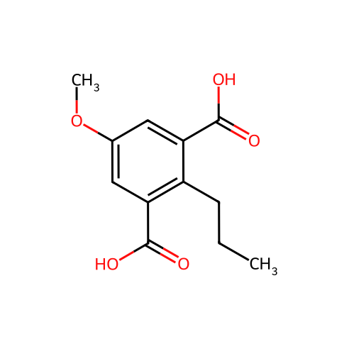 CCCc1c(C(=O)O)cc(OC)cc1C(=O)O